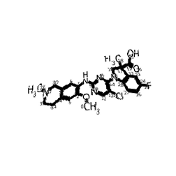 COc1cc2c(cc1Nc1ncc(Cl)c(N3CC(C)(C(=O)O)c4cc(F)ccc43)n1)CN(C)CC2